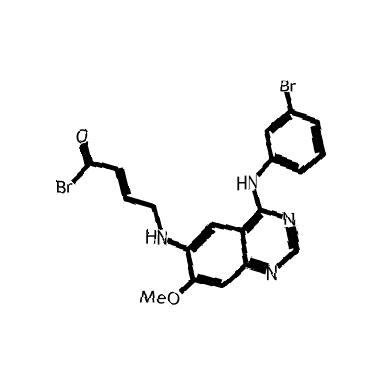 COc1cc2ncnc(Nc3cccc(Br)c3)c2cc1NCC=CC(=O)Br